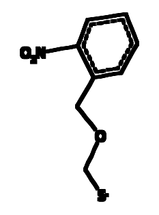 O=[N+]([O-])c1ccccc1COC[S]